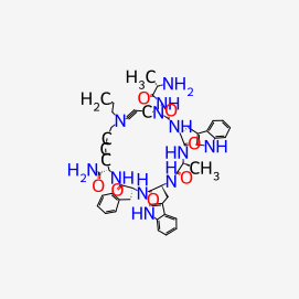 C=CCN1C#CCN(NC(=O)[C@H](C)N)C(=O)N[C@H](Cc2c[nH]c3ccccc23)C(=O)N[C@@H](C)C(=O)N[C@@H](Cc2c[nH]c3ccccc23)C(=O)N[C@H](Cc2ccccc2)C(=O)N[C@H](C(N)=O)CCCC1